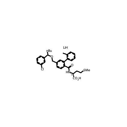 CCCCC(OCc1ccc(C(=O)N[C@@H](CCSC)C(=O)O)c(-c2ccccc2C)c1)c1cccc(Cl)c1.[LiH]